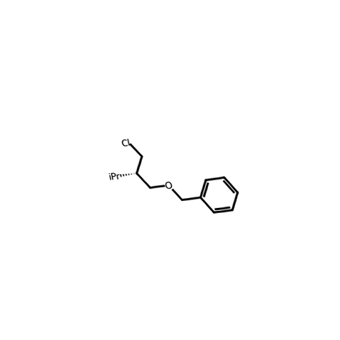 CC(C)[C@H](CCl)COCc1ccccc1